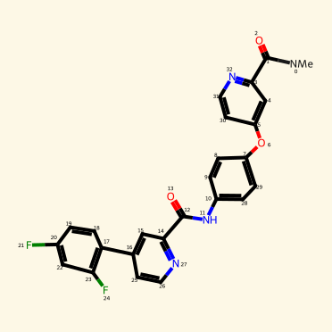 CNC(=O)c1cc(Oc2ccc(NC(=O)c3cc(-c4ccc(F)cc4F)ccn3)cc2)ccn1